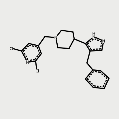 Clc1cc(CN2CCC(c3[nH]ncc3Cc3ccccc3)CC2)cc(Cl)n1